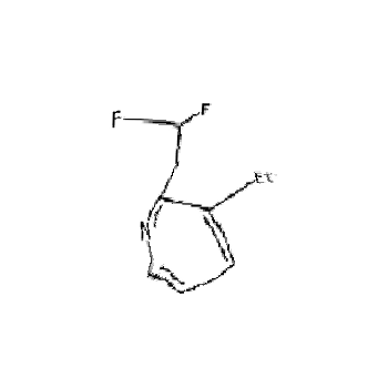 C[CH]c1cccnc1C(F)F